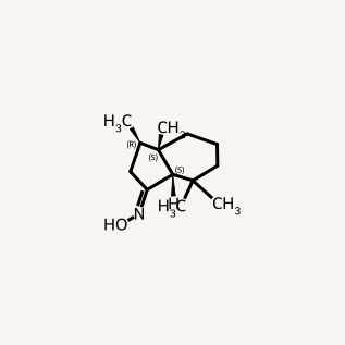 C[C@@H]1CC(=NO)[C@H]2C(C)(C)CCC[C@@]12C